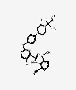 COc1cccc(C#N)c1NC(=O)c1nc(Nc2ccc(N3CCN(C(C)(C)CO)CC3)cc2)ncc1Cl